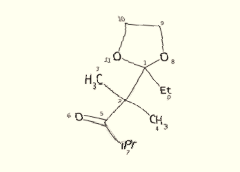 CCC1(C(C)(C)C(=O)C(C)C)OCCO1